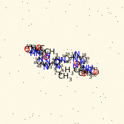 CC1CC2NC(C1)c1c(N3CCC(c4cnc([C@@H]5CCCN5C(=O)[C@@H](NC(=O)N5CCOCC5)C(C)C)[nH]4)CC3)ccc(-c3cnc([C@@H]4CCCN4C(=O)[C@@H](NC(=O)N4CCOCC4)C(C)C)[nH]3)c12